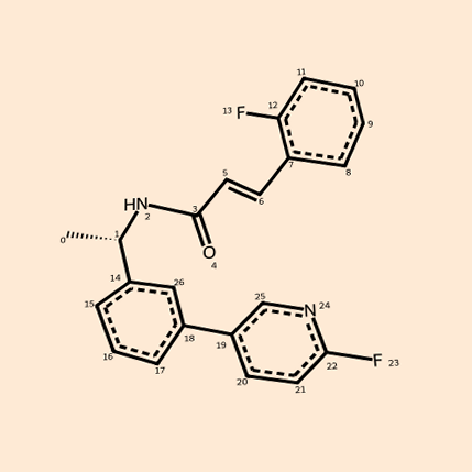 C[C@H](NC(=O)/C=C/c1ccccc1F)c1cccc(-c2ccc(F)nc2)c1